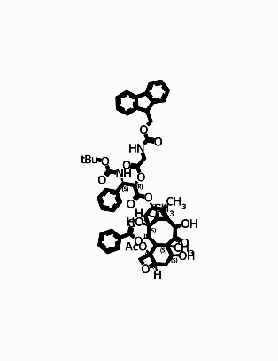 CC(=O)O[C@@]12CO[C@@H]1C[C@H](O)[C@@]1(C)C(=O)C(O)C3=C(C)[C@@H](OC(=O)[C@H](OC(=O)CNC(=O)OCC4c5ccccc5-c5ccccc54)[C@@H](NC(=O)OC(C)(C)C)c4ccccc4)C[C@@](O)([C@@H](OC(=O)c4ccccc4)C12)C3(C)C